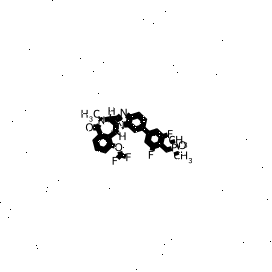 CN1C(=O)c2cccc(OC(F)F)c2[C@H]2C[C@@H]1c1nc3ccc(-c4cc(F)c(CP(C)(C)=O)c(F)c4)cc3n12